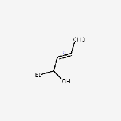 CCC(O)/C=C/C=O